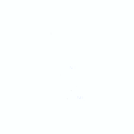 CC(C)(N)Cc1c[nH]c2c(-c3cccc(C(F)(F)F)c3)cccc12